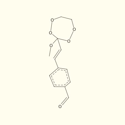 COC1(C=Cc2ccc(C=O)cc2)OOCCOO1